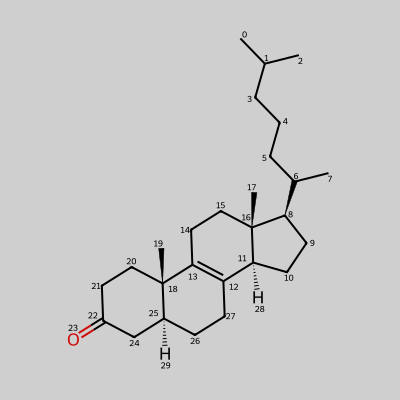 CC(C)CCCC(C)[C@H]1CC[C@H]2C3=C(CC[C@]12C)[C@@]1(C)CCC(=O)C[C@@H]1CC3